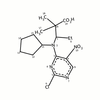 CCC(N(c1nc(Cl)ncc1[N+](=O)[O-])C1CCCC1)C(C)(C)C(=O)O